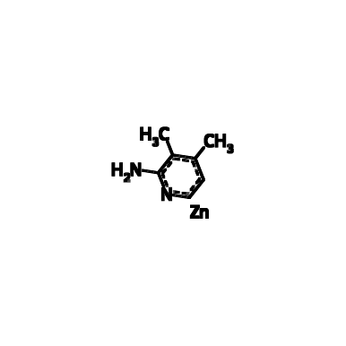 Cc1ccnc(N)c1C.[Zn]